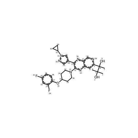 CC(C)(O)C(C)(O)c1cc2nc(N3CCC(Oc4ccc(F)cc4F)CC3)c(-c3cnn(C4CC4)c3)nc2cn1